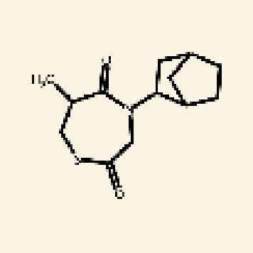 CC1CSC(=O)CN(C2CC3CCC2C3)C1=O